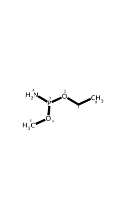 CCOP(N)OC